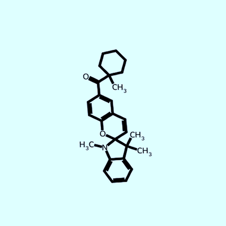 CN1c2ccccc2C(C)(C)C12C=Cc1cc(C(=O)C3(C)CCCCC3)ccc1O2